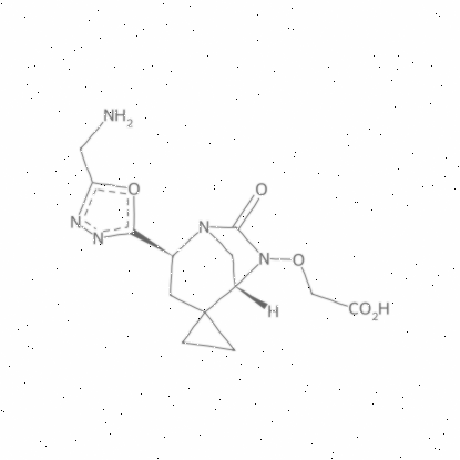 NCc1nnc([C@@H]2CC3(CC3)[C@@H]3CN2C(=O)N3OCC(=O)O)o1